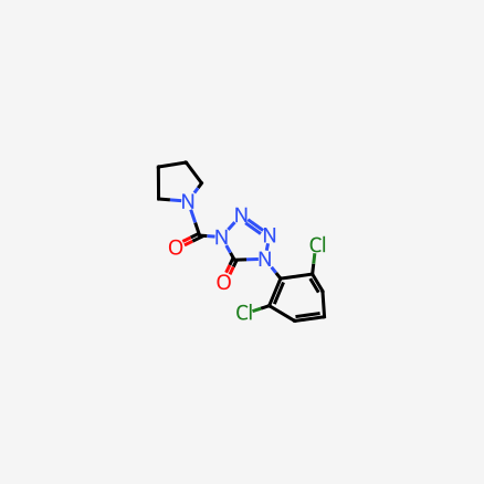 O=C(N1CCCC1)n1nnn(-c2c(Cl)cccc2Cl)c1=O